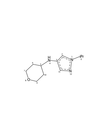 CC(C)n1cc(NC2CCOCC2)cn1